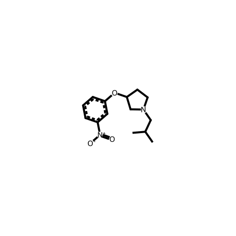 C[C](C)CN1CCC(Oc2cccc([N+](=O)[O-])c2)C1